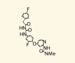 CNC(=O)Nc1cc(Oc2ccc(NC(=O)NC(=O)Cc3ccc(F)cc3)cc2F)ccn1